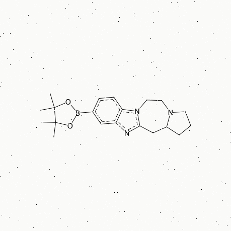 CC1(C)OB(c2ccc3c(c2)nc2n3CCN3CCCC3C2)OC1(C)C